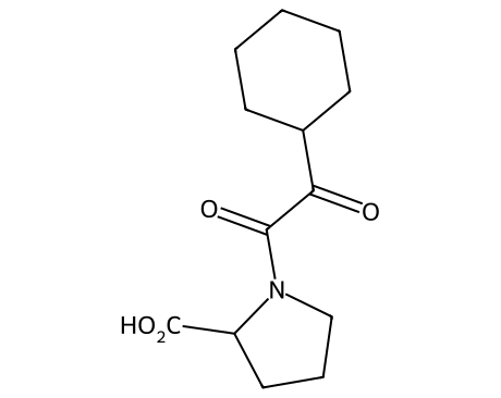 O=C(C(=O)N1CCCC1C(=O)O)C1CCCCC1